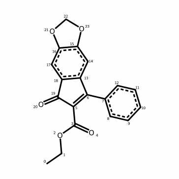 CCOC(=O)C1=C(c2ccccc2)c2cc3c(cc2C1=O)OCO3